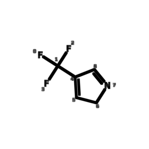 FC(F)(F)C1=CCN=C1